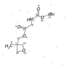 CC1(COC(=O)CNC(=O)OC(C)(C)C)COC1